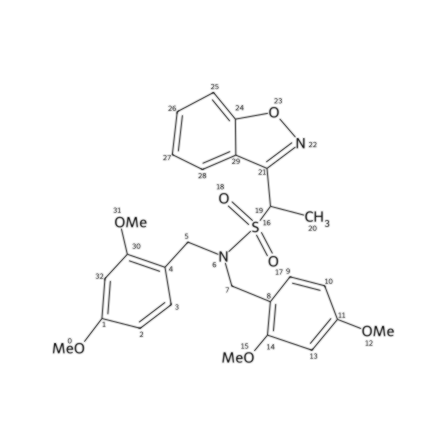 COc1ccc(CN(Cc2ccc(OC)cc2OC)S(=O)(=O)C(C)c2noc3ccccc23)c(OC)c1